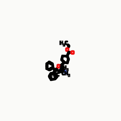 CCOC(=O)C1CCC(C(C#N)O[Si](c2ccccc2)(c2ccccc2)C(C)(C)C)CC1